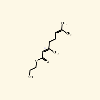 CC(C)=CCC/C(C)=C/C(=O)OCCO